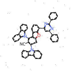 N#Cc1c(-n2c3ccccc3c3ccccc32)cc2oc3c(-c4cc(-c5ccccc5)nc(-c5ccccc5)n4)cccc3c2c1-n1c2ccccc2c2ccccc21